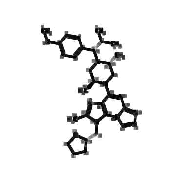 COc1ccc([C@H](C(C)C)N2C[C@H](C)N(c3nc4nncn4c4c3nc(C)n4C[C@@H]3CCCO3)C[C@H]2C)cc1